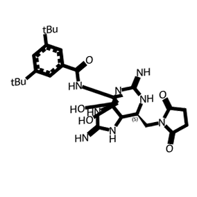 CC(C)(C)c1cc(C(=O)NC2CN3C(=N)N[C@@H](CN4C(=O)CCC4=O)C4NC(=N)NC43C2(O)O)cc(C(C)(C)C)c1